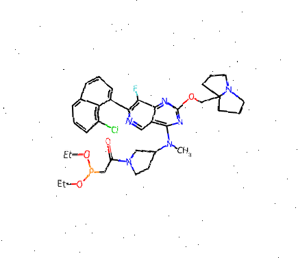 CCOP(CC(=O)N1CCC(N(C)c2nc(OCC34CCCN3CCC4)nc3c(F)c(-c4cccc5cccc(Cl)c45)ncc23)C1)OCC